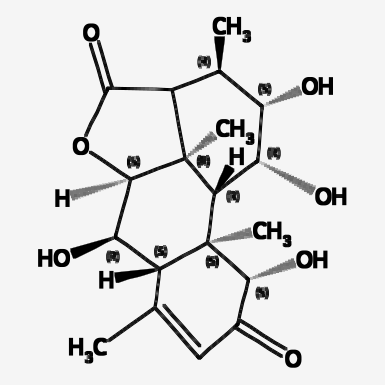 CC1=CC(=O)[C@@H](O)[C@@]2(C)[C@H]1[C@@H](O)[C@H]1OC(=O)C3[C@@H](C)[C@H](O)[C@H](O)[C@H]2[C@]31C